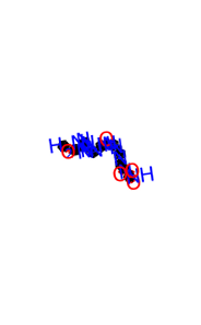 Nc1ncnc2c1c(-c1ccc(Oc3ccccc3)cc1)nn2C1CCCN(C2CCN(C(=O)N3CCN(CC4CCN(c5ccc6c(c5)CN(C5CCC(=O)NC5=O)C6=O)CC4)CC3)CC2)C1